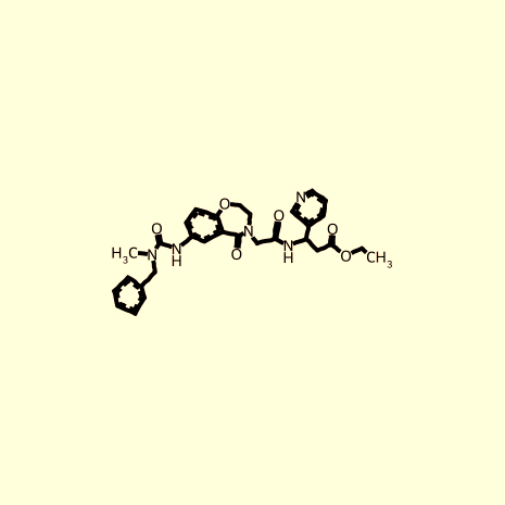 CCOC(=O)CC(NC(=O)CN1CCOc2ccc(NC(=O)N(C)Cc3ccccc3)cc2C1=O)c1cccnc1